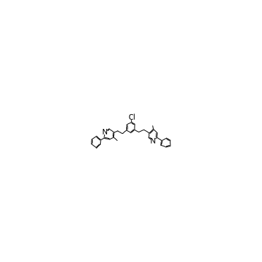 Cc1cc(-c2ccccc2)ncc1CCc1cc(Cl)cc(CCc2cnc(-c3ccccc3)cc2C)c1